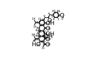 COc1ccc(CC(=O)Cc2cc(C(C)C)c3c(c2O)C(=O)C2=C(O)[C@@]4(O)C(=O)C(C(C)=O)=C(O)C(C(C)C)[C@@]4(C)C[C@@]2(C)C3)cc1